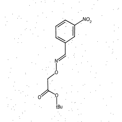 CC(C)(C)OC(=O)CON=Cc1cccc([N+](=O)[O-])c1